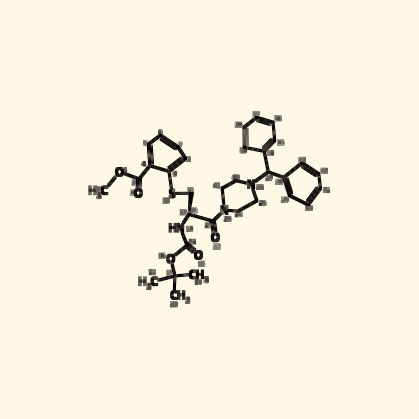 COC(=O)c1ccccc1SC[C@H](NC(=O)OC(C)(C)C)C(=O)N1CCN(C(c2ccccc2)c2ccccc2)CC1